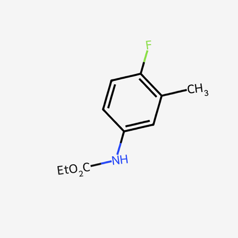 CCOC(=O)Nc1ccc(F)c(C)c1